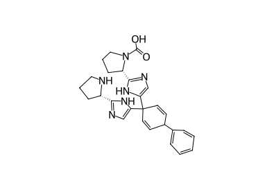 O=C(O)N1CCC[C@H]1c1ncc(C2(c3cnc([C@@H]4CCCN4)[nH]3)C=CC(c3ccccc3)C=C2)[nH]1